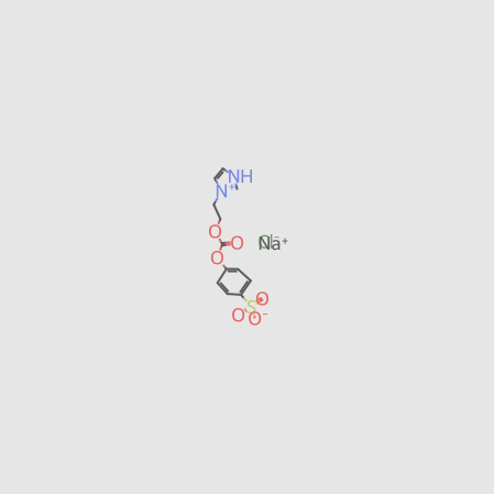 O=C(OCC[n+]1cc[nH]c1)Oc1ccc(S(=O)(=O)[O-])cc1.[Cl-].[Na+]